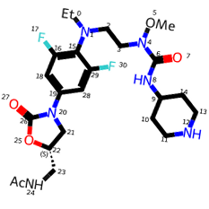 CCN(CCN(OC)C(=O)NC1CCNCC1)c1c(F)cc(N2C[C@H](CNC(C)=O)OC2=O)cc1F